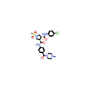 CN1CCN(C(=O)c2ccc(NC(=O)[C@H]3CN(S(C)(=O)=O)C[C@@H]3C(=O)Nc3ccc(Cl)cc3)cc2)CC1